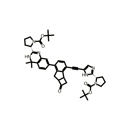 CC(C)(C)OC(=O)N1CCC[C@H]1C1=Nc2cc(-c3ccc(C#Cc4cnc([C@@H]5CCCN5C(=O)OC(C)(C)C)[nH]4)c4c3CC3C(=O)CC43)ccc2C(C)(C)N1